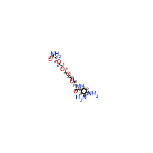 NC(=O)CCOCCOCCOCCOCCNC(=O)c1ccc(N)c(N)c1